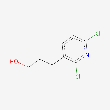 OCCCc1ccc(Cl)nc1Cl